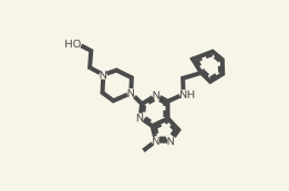 Cn1ncc2c(NCc3ccccc3)nc(N3CCN(CCO)CC3)nc21